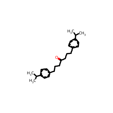 CC(C)c1ccc(CCCC(=O)CCCc2ccc(C(C)C)cc2)cc1